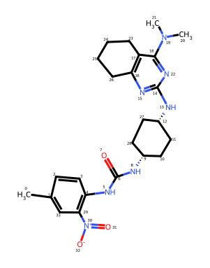 Cc1ccc(NC(=O)N[C@H]2CC[C@@H](Nc3nc4c(c(N(C)C)n3)CCCC4)CC2)c([N+](=O)[O-])c1